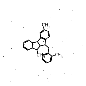 Cc1ccc2c(c1)C1C3C=CC=CC3C(C)C1C2Cc1ccccc1C(F)(F)F